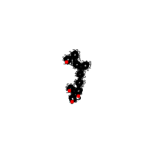 c1ccc2c(c1)Sc1ccc(-c3ccc(-c4ccc(-n5c6ccccc6c6cc(-n7c8ccccc8c8ccccc87)ccc65)cc4)cc3)c3c4ccccc4n-2c13